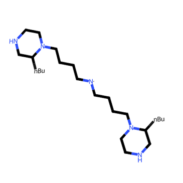 CCCCC1CNCCN1CCCC[N]CCCCN1CCNCC1CCCC